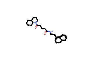 O=C(CCCC(=O)N1CCCC2CCCCC21)NCCc1cccc2ccccc12